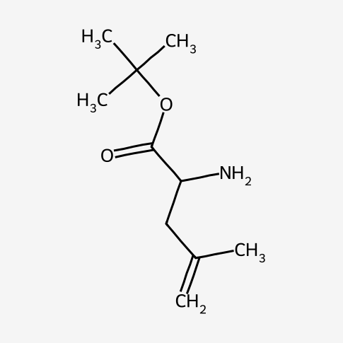 C=C(C)CC(N)C(=O)OC(C)(C)C